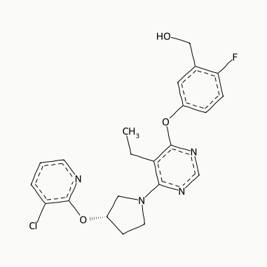 CCc1c(Oc2ccc(F)c(CO)c2)ncnc1N1CC[C@H](Oc2ncccc2Cl)C1